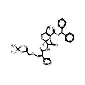 C=CC1=C(C(=O)OC(c2ccccc2)c2ccccc2)N2C(=O)C(NC(=O)/C(=N\OCC(=O)OC(C)(C)C)c3cnsn3)[C@H]2SC1